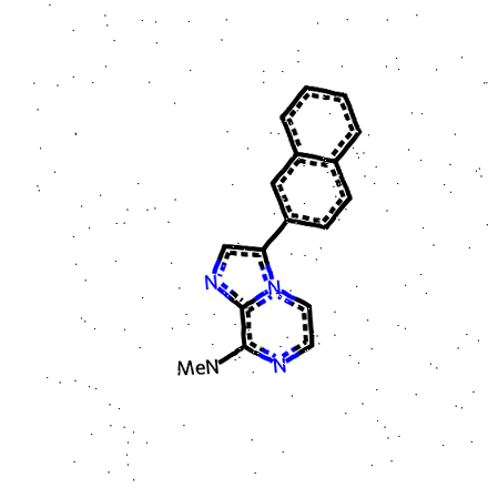 CNc1nccn2c(-c3ccc4ccccc4c3)cnc12